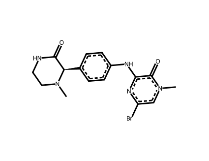 CN1CCNC(=O)[C@H]1c1ccc(Nc2nc(Br)cn(C)c2=O)cc1